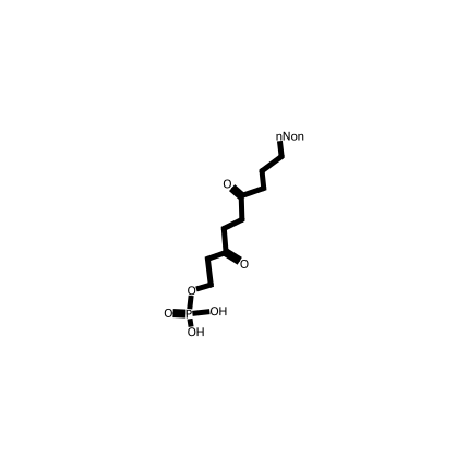 CCCCCCCCCCCCC(=O)CCC(=O)CCOP(=O)(O)O